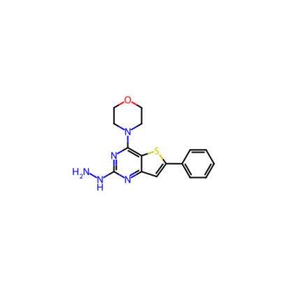 NNc1nc(N2CCOCC2)c2sc(-c3ccccc3)cc2n1